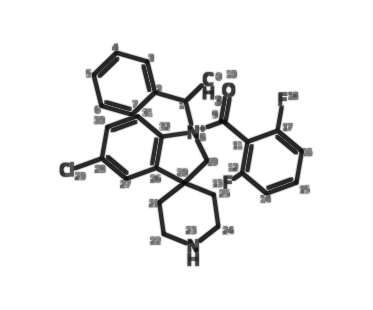 CC(c1ccccc1)[N+]1(C(=O)c2c(F)cccc2F)CC2(CCNCC2)c2cc(Cl)ccc21